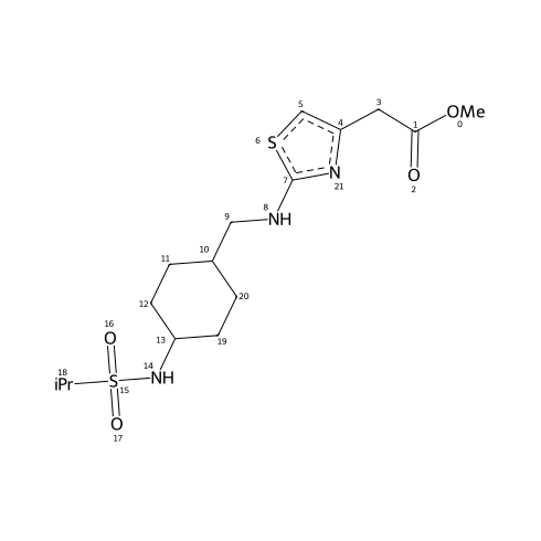 COC(=O)Cc1csc(NCC2CCC(NS(=O)(=O)C(C)C)CC2)n1